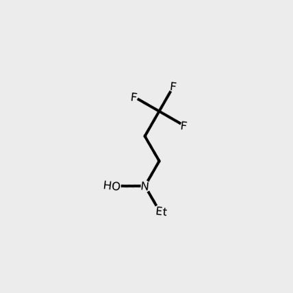 CCN(O)CCC(F)(F)F